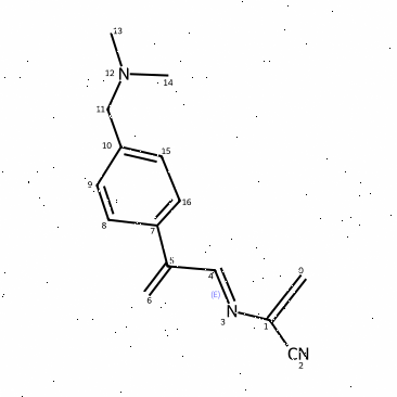 C=C(C#N)/N=C/C(=C)c1ccc(CN(C)C)cc1